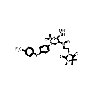 CC(C)N(CCN1C(=O)N(C)C(C)(C)C1=O)[C@@H](CN(c1ccc(Oc2ccc(C(F)(F)F)cc2)cc1)S(C)(=O)=O)C(=O)NO